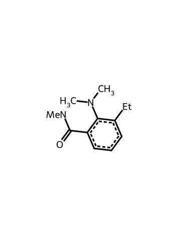 CCc1cccc(C(=O)NC)c1N(C)C